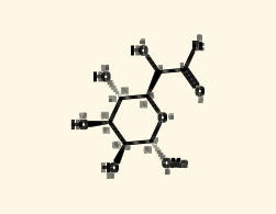 [CH2]CC(=O)C(O)[C@H]1O[C@H](OC)[C@@H](O)[C@@H](O)[C@@H]1O